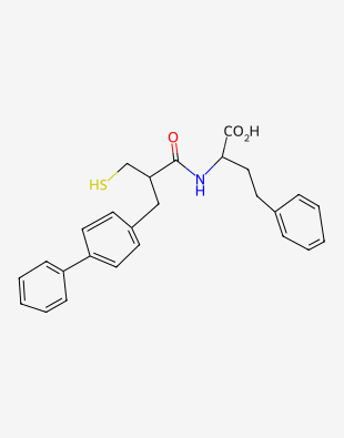 O=C(NC(CCc1ccccc1)C(=O)O)C(CS)Cc1ccc(-c2ccccc2)cc1